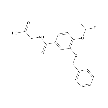 O=C(O)CNC(=O)c1ccc(OC(F)F)c(OCc2ccccc2)c1